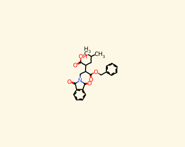 CC(C)CC(C(=O)O)C(CN1C(=O)c2ccccc2C1=O)C(=O)OCc1ccccc1